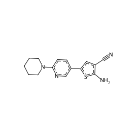 N#Cc1cc(-c2ccc(N3CCCCC3)nc2)sc1N